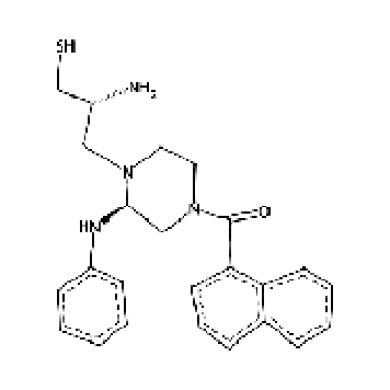 N[C@@H](CS)CN1CCN(C(=O)c2cccc3ccccc23)C[C@H]1Nc1ccccc1